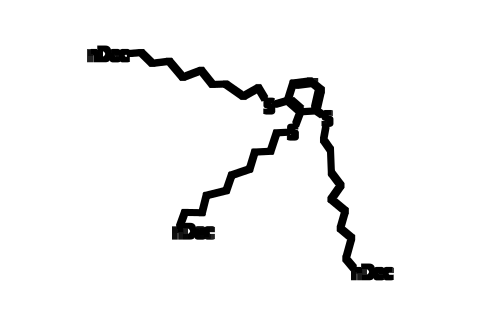 CCCCCCCCCCCCCCCCCCCSc1c[c]cc(SCCCCCCCCCCCCCCCCCCC)c1SCCCCCCCCCCCCCCCCCCC